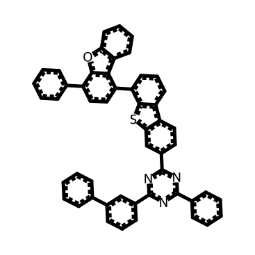 c1ccc(-c2cccc(-c3nc(-c4ccccc4)nc(-c4ccc5c(c4)sc4c(-c6ccc(-c7ccccc7)c7oc8ccccc8c67)cccc45)n3)c2)cc1